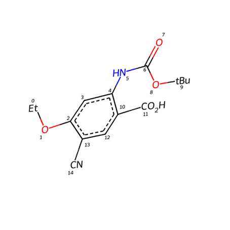 CCOc1cc(NC(=O)OC(C)(C)C)c(C(=O)O)cc1C#N